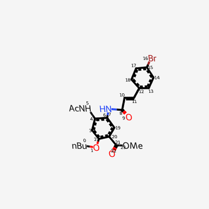 CCCCOc1cc(NC(C)=O)c(NC(=O)C=Cc2ccc(Br)cc2)cc1C(=O)OC